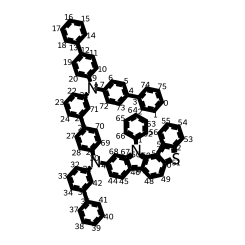 c1ccc(-c2ccc(N(c3ccc(-c4ccccc4)cc3)c3cccc(-c4ccc(N(c5cccc(-c6ccccc6)c5)c5ccc6c7ccc8sc9ccccc9c8c7n(-c7ccccc7)c6c5)cc4)c3)cc2)cc1